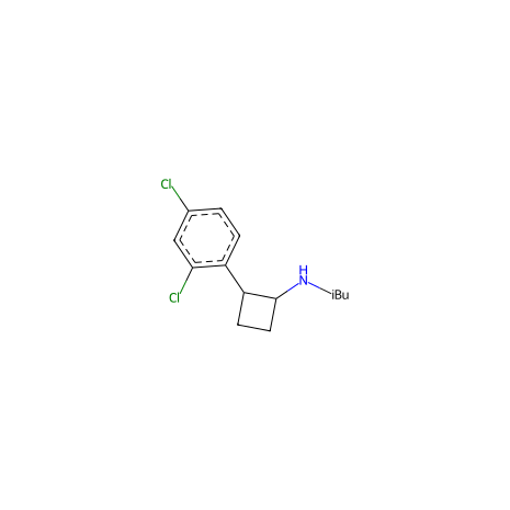 CCC(C)NC1CCC1c1ccc(Cl)cc1Cl